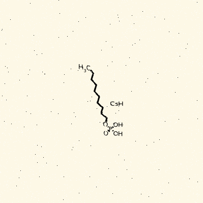 CCCCCCCCCCOP(=O)(O)O.[CsH]